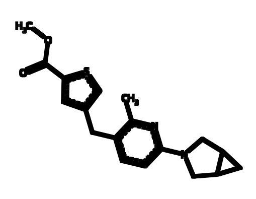 COC(=O)c1cc(Cc2ccc(N3CC4CC4C3)nc2C)cs1